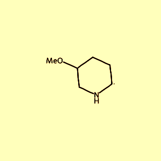 COC1CC[CH]NC1